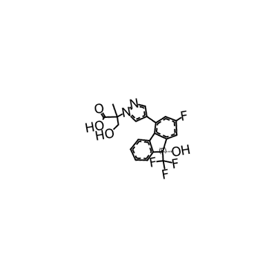 CC(CO)(C(=O)O)n1cc(-c2cc(F)cc3c2-c2ccccc2[C@]3(O)C(F)(F)F)cn1